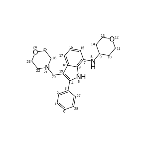 c1ccc(-c2[nH]c3c(NC4CCOCC4)cccc3c2CN2CCOCC2)cc1